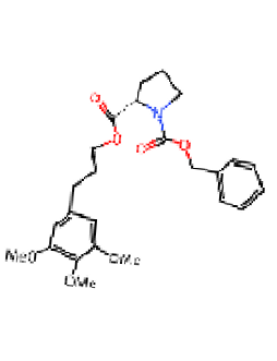 COc1cc(CCCOC(=O)[C@@H]2CCCN2C(=O)OCc2ccccc2)cc(OC)c1OC